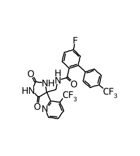 O=C1NC(=O)C(CNC(=O)c2ccc(F)cc2-c2ccc(C(F)(F)F)cc2)(c2ncccc2C(F)(F)F)N1